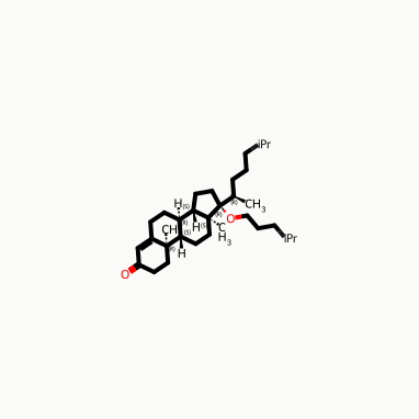 CC(C)CCCO[C@@]1([C@H](C)CCCC(C)C)CC[C@H]2[C@@H]3CCC4=CC(=O)CC[C@]4(C)[C@H]3CC[C@@]21C